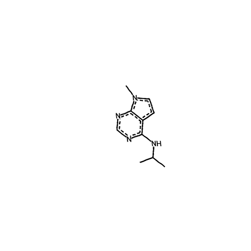 CC(C)Nc1ncnc2c1ccn2C